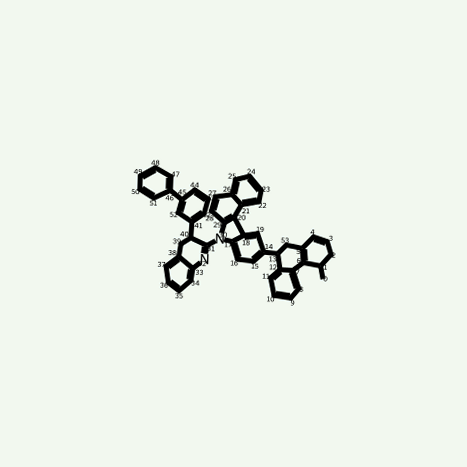 CC1CC=CC2=C1c1ccccc1C(c1ccc3c(c1)c1c4ccccc4ccc1n3C1=Nc3ccccc3CC1c1cccc(-c3ccccc3)c1)C2